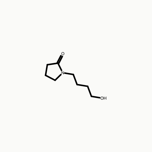 O=C1CCCN1CCCCO